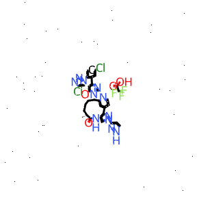 C[C@@H]1CCC[C@H](n2cnc(-c3cc(Cl)ccc3-n3cc(Cl)nn3)cc2=O)c2cc(ccn2)-c2nn(-c3cc[nH]n3)cc2NC1=O.O=C(O)C(F)(F)F